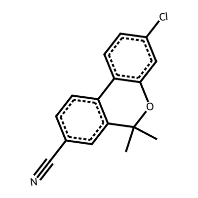 CC1(C)Oc2cc(Cl)ccc2-c2ccc(C#N)cc21